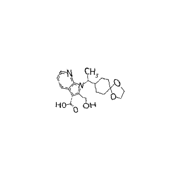 CC(C1CCC2(CC1)OCCO2)n1c(CO)c(C(=O)O)c2cccnc21